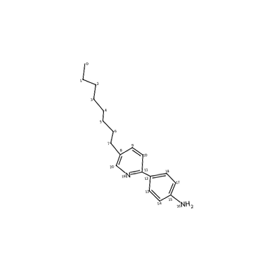 CCCCCCCCc1ccc(-c2ccc(N)cc2)nc1